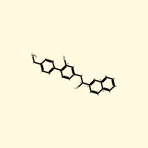 NCc1ccc(-c2ccc(CC(F)c3ccc4ccccc4c3)cc2F)cc1